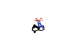 CO[SiH](OC)N1CCCC2C(C)CCCC21